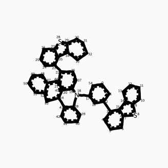 c1cc(-c2cccc3sc4ccccc4c23)cc(N(c2ccc(-c3cccc4sc5ccccc5c34)cc2)c2ccccc2-c2ccc3ccccc3c2)c1